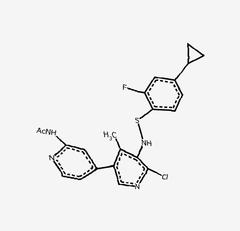 CC(=O)Nc1cc(-c2cnc(Cl)c(NSc3ccc(C4CC4)cc3F)c2C)ccn1